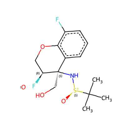 CC(C)(C)[S@@+]([O-])N[C@]1(CO)c2cccc(F)c2OC[C@@H]1F.[O]